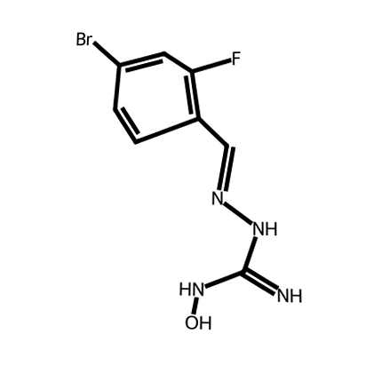 N=C(NO)NN=Cc1ccc(Br)cc1F